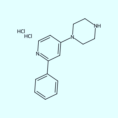 Cl.Cl.c1ccc(-c2cc(N3CCNCC3)ccn2)cc1